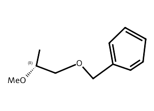 CO[C@H](C)COCc1ccccc1